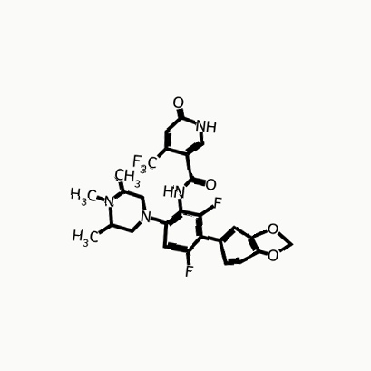 CC1CN(c2cc(F)c(-c3ccc4c(c3)OCO4)c(F)c2NC(=O)c2c[nH]c(=O)cc2C(F)(F)F)CC(C)N1C